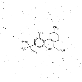 CCCCCCC(C)(C)c1cc(O)c(C2=C(CC(=O)O)CCC(C)C2)c(O)c1